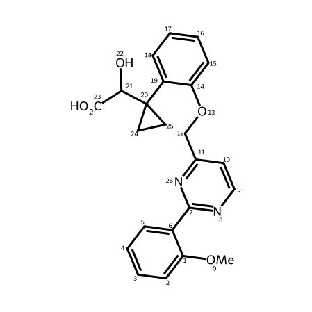 COc1ccccc1-c1nccc(COc2ccccc2C2(C(O)C(=O)O)CC2)n1